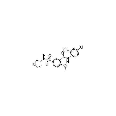 COc1ccc(S(=O)(=O)NC2CCOC2)cc1C(=O)Nc1ccc(Cl)cc1Cl